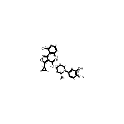 CC[C@@H]1C[C@H](OC(=O)c2c(-c3c(Cl)cccc3Cl)noc2C2CC2)CCN1c1ccc(C#N)c(O)c1